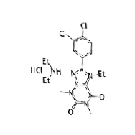 CCNCC.CCn1c(-c2ccc(Cl)c(Cl)c2)nc2c1c(=O)n(C)c(=O)n2C.Cl